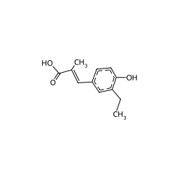 CCc1cc(/C=C(\C)C(=O)O)ccc1O